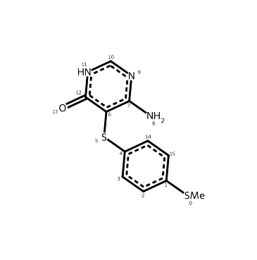 CSc1ccc(Sc2c(N)nc[nH]c2=O)cc1